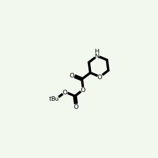 CC(C)(C)OC(=O)OC(=O)C1CNCCO1